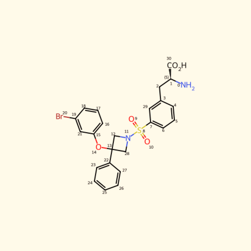 N[C@@H](Cc1cccc(S(=O)(=O)N2CC(Oc3cccc(Br)c3)(c3ccccc3)C2)c1)C(=O)O